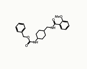 COc1ccccc1C(=O)NCC1CCC(NC(=O)OCc2ccccc2)CC1